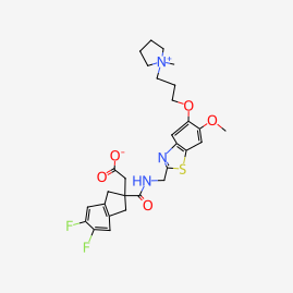 COc1cc2sc(CNC(=O)C3(CC(=O)[O-])Cc4cc(F)c(F)cc4C3)nc2cc1OCCC[N+]1(C)CCCC1